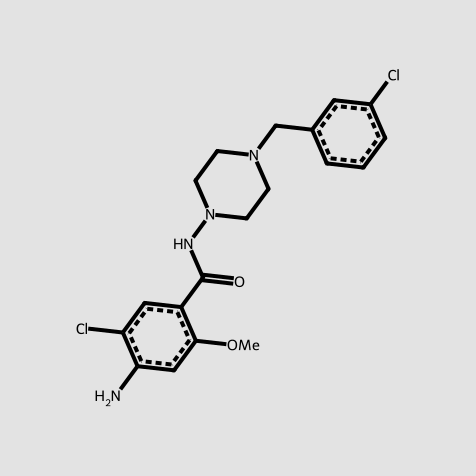 COc1cc(N)c(Cl)cc1C(=O)NN1CCN(Cc2cccc(Cl)c2)CC1